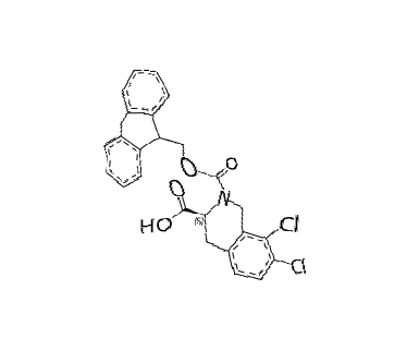 O=C(O)[C@@H]1Cc2ccc(Cl)c(Cl)c2CN1C(=O)OCC1c2ccccc2-c2ccccc21